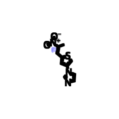 C/C(=C\c1cc(-n2ccnc2)cs1)[N+](=O)[O-]